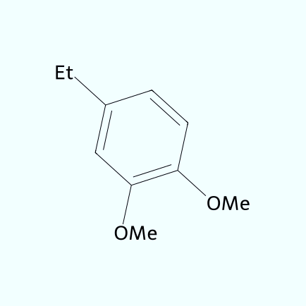 [CH2]Cc1ccc(OC)c(OC)c1